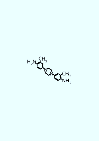 Cc1cc(N2CCN(c3ccc(N)c(C)c3)CC2)ccc1N